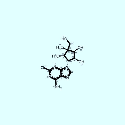 C[C@@H]1[C@@H](n2cnc3c(N)nc(Cl)nc32)[C@H](O)[C@H](O)[C@@]1(C)CO